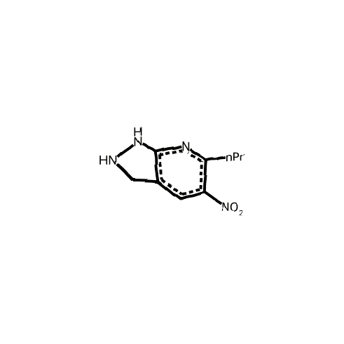 CCCc1nc2c(cc1[N+](=O)[O-])CNN2